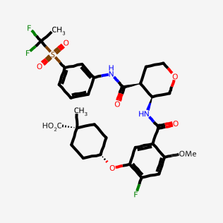 COc1cc(F)c(O[C@H]2CC[C@@](C)(C(=O)O)CC2)cc1C(=O)N[C@@H]1COCC[C@@H]1C(=O)Nc1cccc(S(=O)(=O)C(C)(F)F)c1